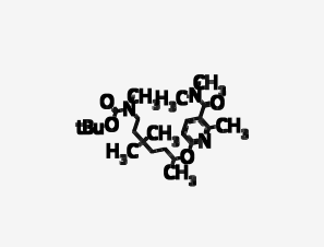 Cc1nc(OC(C)CCC(C)(C)CCN(C)C(=O)OC(C)(C)C)ccc1C(=O)N(C)C